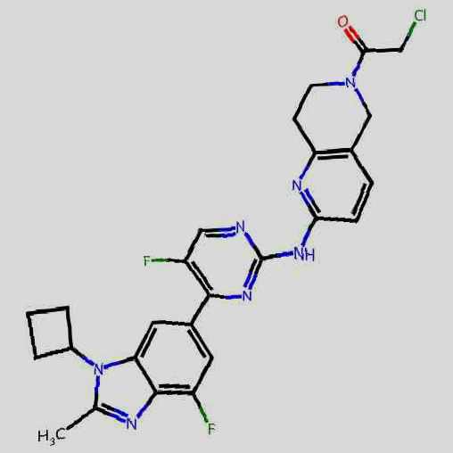 Cc1nc2c(F)cc(-c3nc(Nc4ccc5c(n4)CCN(C(=O)CCl)C5)ncc3F)cc2n1C1CCC1